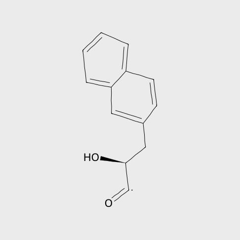 O=[C][C@@H](O)Cc1ccc2ccccc2c1